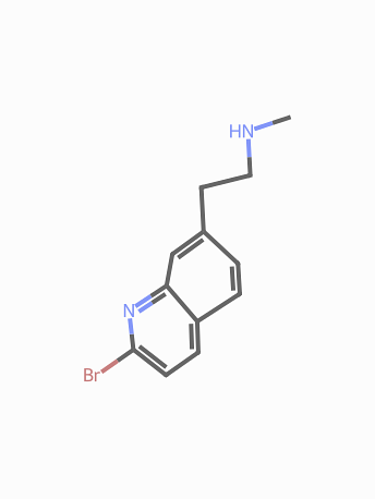 CNCCc1ccc2ccc(Br)nc2c1